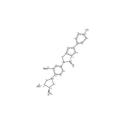 COc1cc(N2Cc3cc(-c4ccc(Cl)cc4)sc3C2=O)ccc1N1C[C@@H](C)[C@H](O)C1